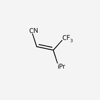 CC(C)C(=CC#N)C(F)(F)F